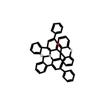 O=c1c2ccccc2c2cc(-c3ccccc3)cc3c2n1-c1c(-c2ccccc2)cc(-c2ccccc2)cc1C31c2ccccc2Sc2ccccc21